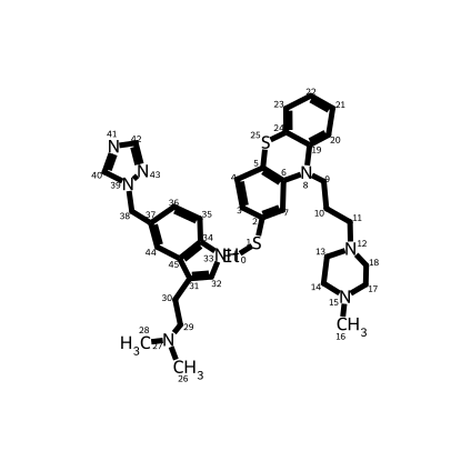 CCSc1ccc2c(c1)N(CCCN1CCN(C)CC1)c1ccccc1S2.CN(C)CCc1c[nH]c2ccc(Cn3cncn3)cc12